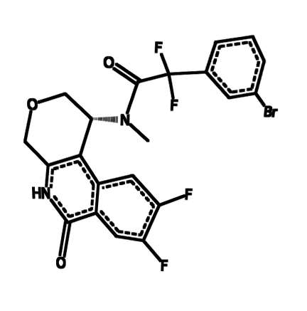 CN(C(=O)C(F)(F)c1cccc(Br)c1)[C@H]1COCc2[nH]c(=O)c3cc(F)c(F)cc3c21